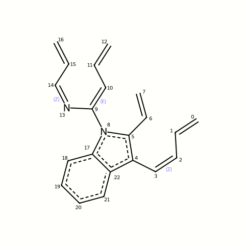 C=C/C=C\c1c(C=C)n(C(=C/C=C)/N=C\C=C)c2ccccc12